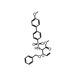 C=C[C@@H](OCc1ccccc1)C(NS(=O)(=O)c1ccc(-c2ccc(OC)cc2)cc1)C(=O)OC